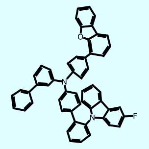 Fc1ccc2c(c1)c1ccccc1n2-c1ccccc1-c1ccc(N(c2ccc(-c3cccc4c3oc3ccccc34)cc2)c2cccc(-c3ccccc3)c2)cc1